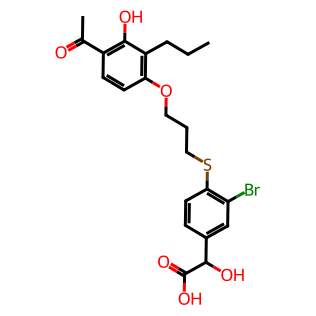 CCCc1c(OCCCSc2ccc(C(O)C(=O)O)cc2Br)ccc(C(C)=O)c1O